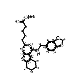 COC(=O)CCCCc1nc(NCc2ccc3c(c2)OCO3)c2c3c(sc2n1)CCCC3